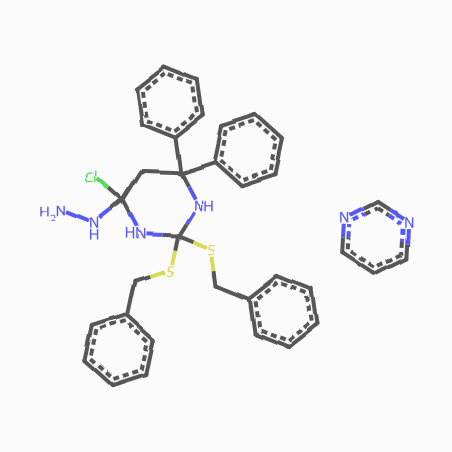 NNC1(Cl)CC(c2ccccc2)(c2ccccc2)NC(SCc2ccccc2)(SCc2ccccc2)N1.c1cncnc1